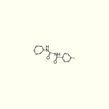 Cc1ccc(C(=O)NC(=O)Nc2ccccc2)cc1